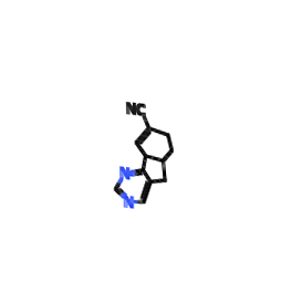 N#CC1=CC2c3ncncc3CC2CC1